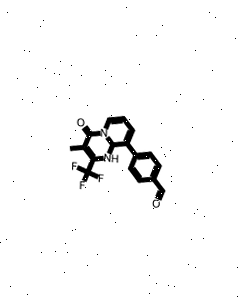 CC1=C(C(F)(F)F)NC2C(c3ccc(C=O)cc3)=CC=CN2C1=O